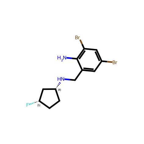 Nc1c(Br)cc(Br)cc1CN[C@@H]1CC[C@H](F)C1